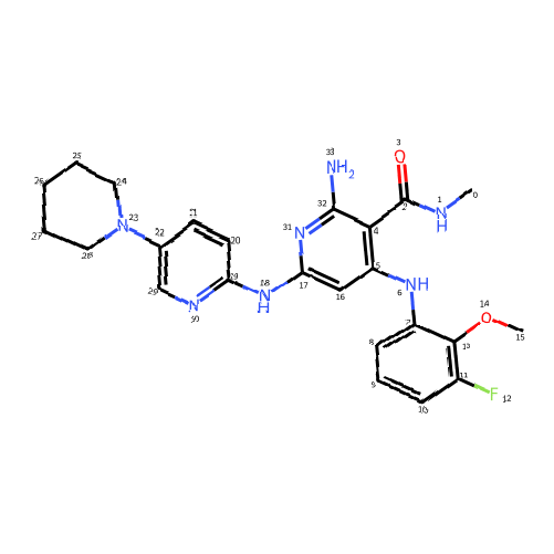 CNC(=O)c1c(Nc2cccc(F)c2OC)cc(Nc2ccc(N3CCCCC3)cn2)nc1N